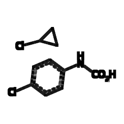 ClC1CC1.O=C(O)Nc1ccc(Cl)cc1